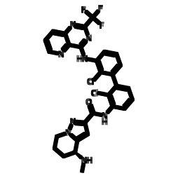 CN[C@H]1CCCn2nc(C(=O)Nc3cccc(-c4cccc(Nc5nc(C(F)(F)F)nc6cccnc56)c4Cl)c3Cl)cc21